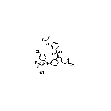 CNCc1cn(S(=O)(=O)c2cccc(OC(F)F)c2)c2cc(Nc3ccc(Cl)cc3C(F)(F)F)ccc12.Cl